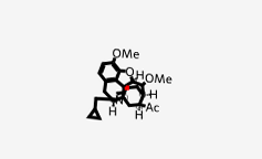 COc1ccc2c3c1O[C@H]1C(OC)[C@@H]4CC[C@@]5(C[C@@H]4C(C)=O)[C@@H](C2)N(CC2CC2)CCC315